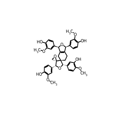 COc1ccc([C@@H]2O[C@H](c3ccc(O)c(OC)c3)[C@]3(CO3)[C@@]23CCC2=C(C3)[C@@H](c3ccc(O)c(OC)c3)O[C@H]2c2ccc(O)c(OC)c2)cc1O